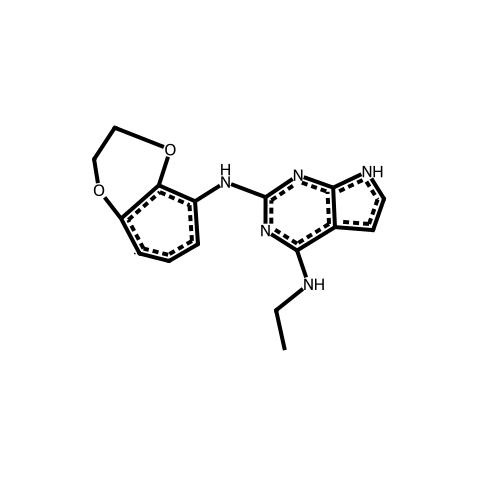 CCNc1nc(Nc2cc[c]c3c2OCCO3)nc2[nH]ccc12